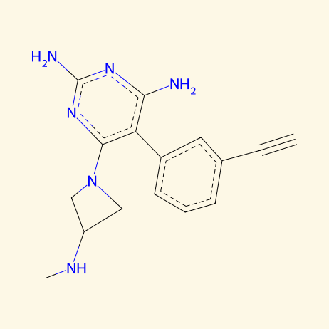 C#Cc1cccc(-c2c(N)nc(N)nc2N2CC(NC)C2)c1